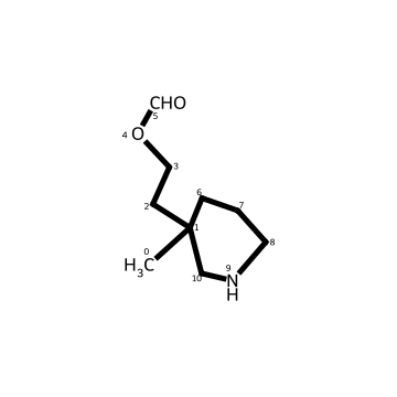 CC1(CCOC=O)CCCNC1